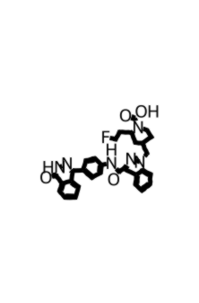 O=C(Nc1ccc(-c2n[nH]c(=O)c3ccccc23)cc1)c1nn(CC2CCN(C(=O)O)C(CCF)C2)c2ccccc12